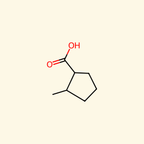 CC1CCCC1C(=O)O